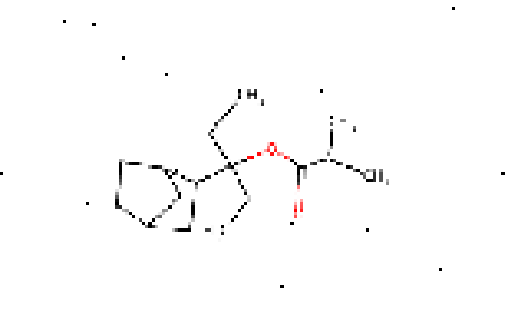 CCC(CC)(OC(=O)C(C)C)C1CC2CCC1C2